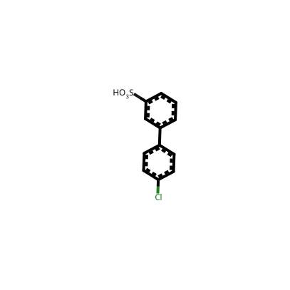 O=S(=O)(O)c1cccc(-c2ccc(Cl)cc2)c1